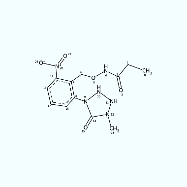 CCC(=O)NOCc1c(N2NNN(C)C2=O)cccc1[N+](=O)[O-]